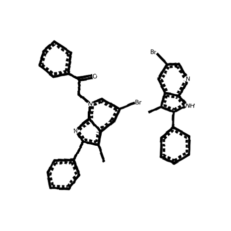 Cc1c(-c2ccccc2)[nH]c2ncc(Br)cc12.Cc1c2cc(Br)cn(CC(=O)c3ccccc3)c-2nc1-c1ccccc1